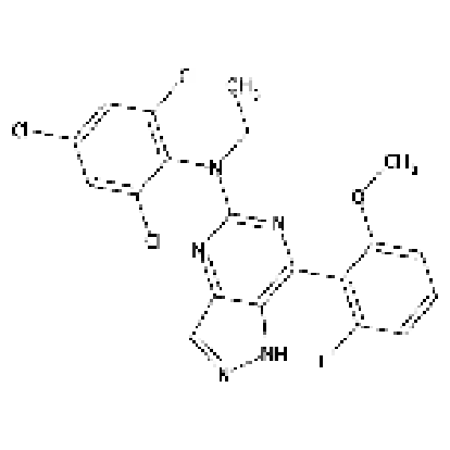 CCN(c1nc(-c2c(F)cccc2OC)c2[nH]ncc2n1)c1c(Cl)cc(Cl)cc1Cl